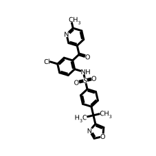 Cc1ccc(C(=O)c2cc(Cl)ccc2NS(=O)(=O)c2ccc(C(C)(C)c3cocn3)cc2)cn1